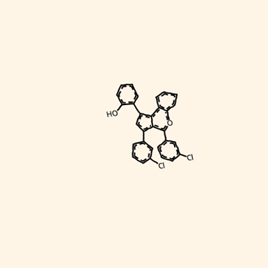 Oc1ccccc1-c1cc(-c2cccc(Cl)c2)c2c(-c3cccc(Cl)c3)oc3ccccc3c1-2